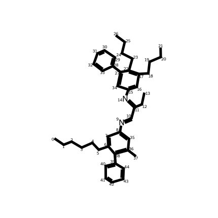 CCCCCCc1cc(N=CC(CC)=Nc2cc(CCCC)c(CCCC)c(-c3ccccc3)c2)cc(C)c1-c1ccccc1